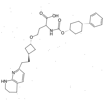 O=C(NC(CCO[C@H]1C[C@H](CCc2ccc3c(n2)NCCC3)C1)C(=O)O)O[C@H]1CC[C@@H](c2ccccc2)CC1